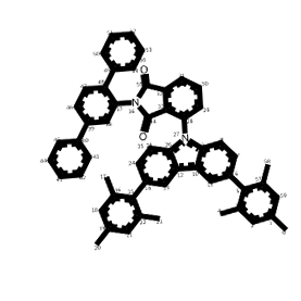 Cc1cc(C)c(-c2ccc3c(c2)c2cc(-c4c(C)cc(C)cc4C)ccc2n3-c2cccc3c2C(=O)N(c2cc(-c4ccccc4)ccc2-c2ccccc2)C3=O)c(C)c1